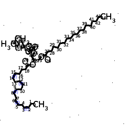 CC/C=C\C/C=C\C/C=C\C/C=C\C/C=C\CCCC(=O)O[C@H](COC(=O)CCCCCCCCCCCCCCCCCC)COP(=O)([O-])OCC[N+](C)(C)C